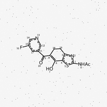 CC(=O)Nc1nc2c(s1)C(O)=C(C(=O)c1cncc(F)c1)CC2